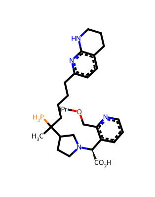 CC(C)OCc1ncccc1[C@@H](C(=O)O)N1CCC(C(C)(P)CCCCc2ccc3c(n2)NCCC3)C1